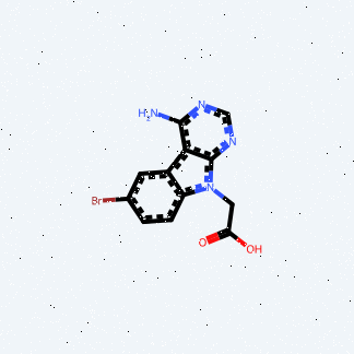 Nc1ncnc2c1c1cc(Br)ccc1n2CC(=O)O